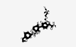 CNC(=O)c1nn(COCC[Si](C)(C)C)c2c(F)c(-c3c(F)ccc(NS(=O)(=O)c4ccc5c(c4)OCC5)c3F)ccc12